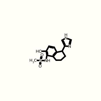 CS(=O)(=O)Nc1c(O)ccc2c1CCCC2c1c[nH]cn1